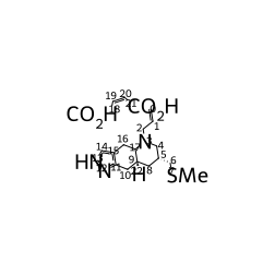 C=CCN1C[C@H](CSC)C[C@@H]2Cc3n[nH]cc3CC21.O=C(O)/C=C\C(=O)O